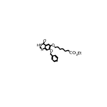 CCOC(=O)CCCCCCOc1cc2c(=O)[nH]cnc2cc1OCc1ccccc1